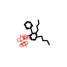 CCCCc1ccc(O)c(-c2ccccc2)c1CCCC.O=S(=O)(O)O